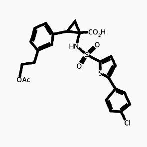 CC(=O)OCCc1cccc(C2CC2(NS(=O)(=O)c2ccc(-c3ccc(Cl)cc3)s2)C(=O)O)c1